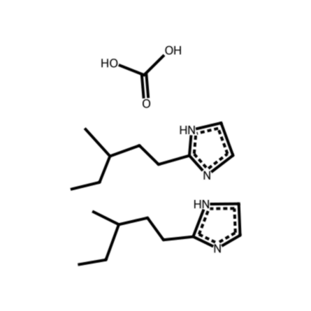 CCC(C)CCc1ncc[nH]1.CCC(C)CCc1ncc[nH]1.O=C(O)O